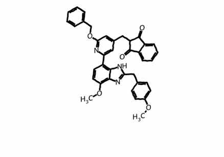 COc1ccc(Cc2nc3c(OC)ccc(-c4cc(CC5C(=O)c6ccccc6C5=O)cc(OCc5ccccc5)n4)c3[nH]2)cc1